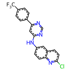 FC(F)(F)c1ccc(-c2cc(Nc3ccc4nc(Cl)ccc4c3)ncn2)cc1